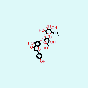 CC1O[C@@H](OC2[C@H](Oc3cc(O)c4c(c3)OC(c3ccc(O)cc3)CC4=O)OC(CO)[C@@H](O)[C@H]2O)C(O)[C@@H](O)[C@H]1O